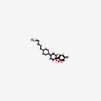 CCCCCC1CCC(C2=CCC(O)(c3ccc(Br)cc3)CC2)CC1